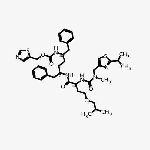 CC(C)COCC[C@H](NC(=O)N(C)Cc1csc(C(C)C)n1)C(=O)N[C@H](CC[C@H](Cc1ccccc1)NC(=O)OCc1cncs1)Cc1ccccc1